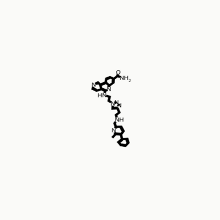 Cc1nc(CNCCc2cn(CCNc3nc4cc(C(N)=O)ccc4c4cnccc34)nn2)ccc1-c1ccccc1